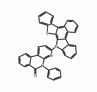 O=c1c2ccccc2c2ccc(-n3c4ccccc4c4c5ccccc5c5c6ccccc6sc5c43)nc2n1-c1ccccc1